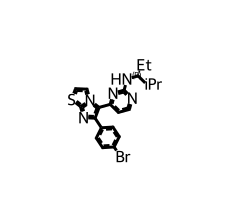 CC[C@@H](Nc1nccc(-c2c(-c3ccc(Br)cc3)nc3sccn23)n1)C(C)C